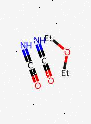 CCOCC.N=C=O.N=C=O